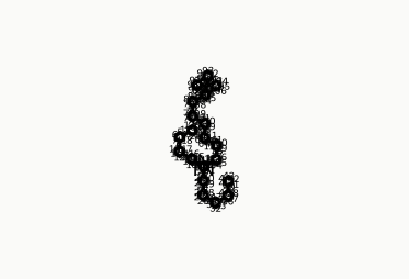 c1ccc(-c2cccc(-c3cccc(-c4ccc(-c5nc(-c6ccc(-c7cccc(-c8cccc(-c9cccc(-c%10ccccc%10)c9)c8)c7)cc6)nc(-c6cccc(-c7cccc(-c8cccc(-c9cccc(-c%10cccc(-c%11cccc(-c%12ccc%13c(c%12)C%12(c%14ccccc%14-c%14ccccc%14%12)c%12ccccc%12-%13)c%11)c%10)c9)c8)c7)c6)n5)cc4)c3)c2)cc1